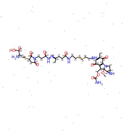 CO[C@@]12C(COC(N)=O)C3=C(C(=O)C(C)=C(NCCSSCCNC(=O)CC/C(C)=N/NC(=O)CCN4C(=O)CC(SC[C@H](N)C(=O)O)C4=O)C3=O)N1CC1NC12